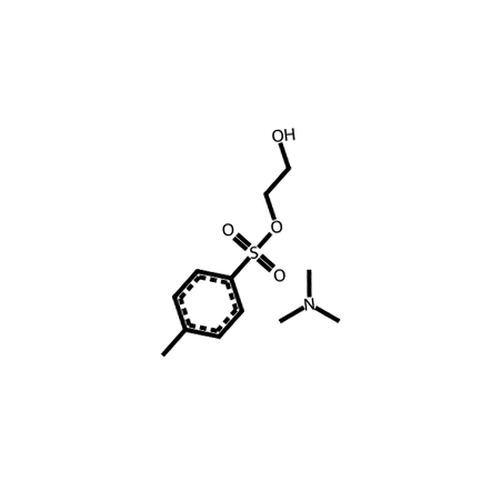 CN(C)C.Cc1ccc(S(=O)(=O)OCCO)cc1